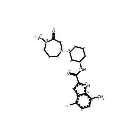 Cc1ccc(F)c2cc(C(=O)N[C@@H]3CCC[C@@H](N4CCCN(C)C(=O)C4)C3)[nH]c12